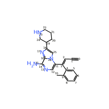 C#C/C=C(\c1ccccc1C)c1cnc(N)c2nc(C3CCCNC3)cn12